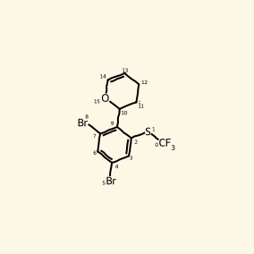 FC(F)(F)Sc1cc(Br)cc(Br)c1C1[C]CC=CO1